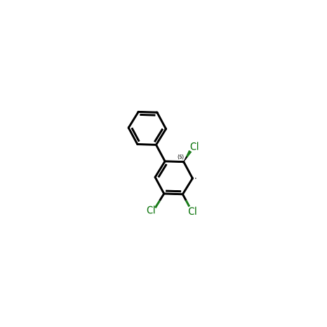 ClC1=C(Cl)C=C(c2ccccc2)[C@@H](Cl)[CH]1